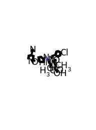 C[C@@H](C(=O)O)[C@H](C)n1c(=O)[nH]/c(=N\c2ccc(Oc3cc(C#N)ccn3)cc2)n(Cc2ccc(Cl)cc2)c1=O